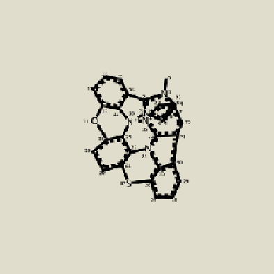 Cn1c2[n+](c3nccnc31)[N+]13c4c(cccc4-2)Oc2ccc4c(c21)-n1c2c(cccc2c2ccc[n+]3c21)S4